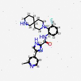 Cc1cc(-c2c[nH]c(C(=O)Nc3cccc(F)c3N3CCC4(CCCNC4)CC3)n2)ccn1